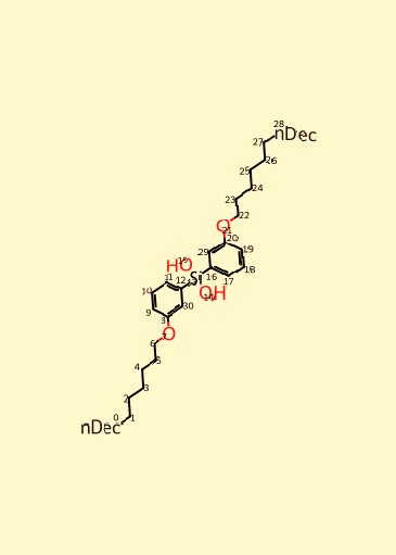 CCCCCCCCCCCCCCCCOc1cccc([Si](O)(O)c2cccc(OCCCCCCCCCCCCCCCC)c2)c1